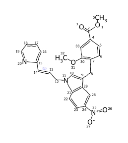 COC(=O)c1ccc(Cc2cn(C/C=C/c3ccccn3)c3ccc([N+](=O)[O-])cc23)c(OC)c1